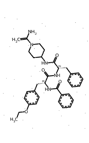 C=C(N)N1CCC(NC(=O)[C@H](Cc2ccccc2)NC(=O)[C@@H](Cc2ccc(OCC)cc2)NC(=O)c2ccccc2)CC1